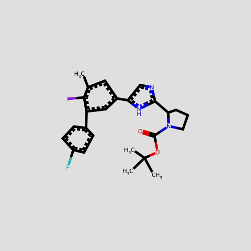 Cc1cc(-c2cnc(C3CCCN3C(=O)OC(C)(C)C)[nH]2)cc(-c2ccc(F)cc2)c1I